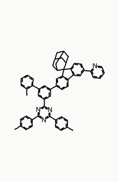 Cc1ccc(-c2nc(-c3ccc(C)cc3)nc(-c3cc(-c4ccc5c(c4)C4(c6ccc(-c7ccccn7)cc6-5)C5CC6CC(C5)CC4C6)cc(-c4ccccc4C)c3)n2)cc1